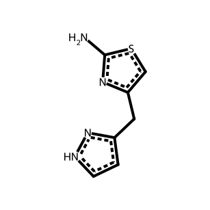 Nc1nc(Cc2cc[nH]n2)cs1